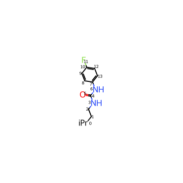 CC(C)CCNC(=O)Nc1ccc(F)cc1